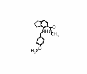 COC(=O)c1ccc2c(c1NCc1ccc(OC)cc1)CCC2